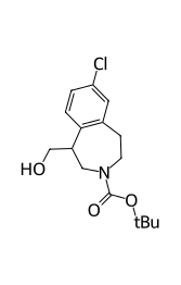 CC(C)(C)OC(=O)N1CCc2cc(Cl)ccc2C(CO)C1